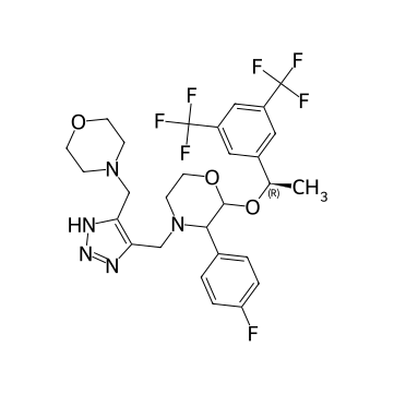 C[C@@H](OC1OCCN(Cc2nn[nH]c2CN2CCOCC2)C1c1ccc(F)cc1)c1cc(C(F)(F)F)cc(C(F)(F)F)c1